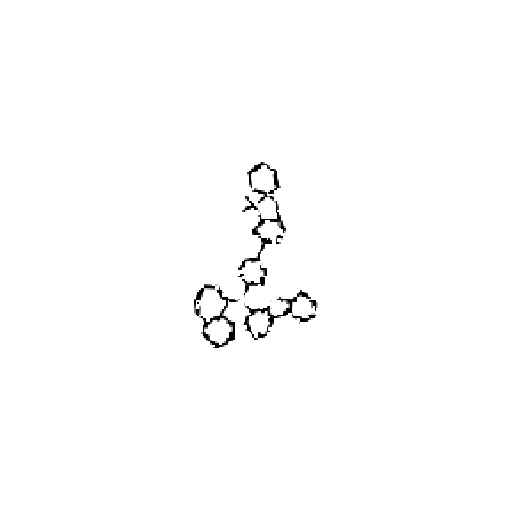 CC1(C)c2cc(-c3ccc(N(C4=CC=C=Cc5ccccc54)c4cccc5c4oc4ccccc45)cc3)ccc2CC12C=CC=CC2